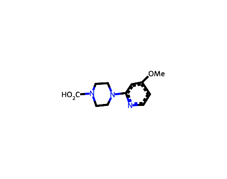 COc1ccnc(N2CCN(C(=O)O)CC2)c1